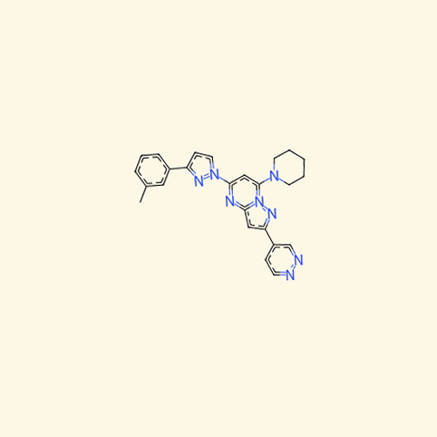 Cc1cccc(-c2ccn(-c3cc(N4CCCCC4)n4nc(-c5ccnnc5)cc4n3)n2)c1